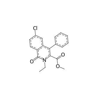 CCn1c(C(=O)OC)c(-c2ccccc2)c2cc(Cl)ccc2c1=O